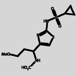 COCCC(NC(=O)O)c1csc(NS(=O)(=O)C2CC2)n1